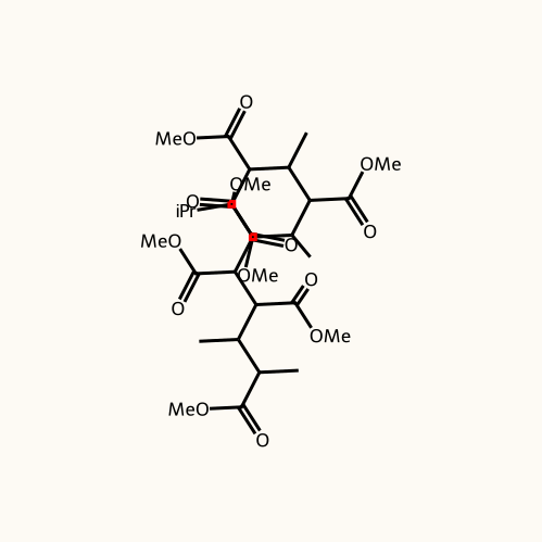 COC(=O)C(C)C(C)C(C(=O)OC)C(C(=O)OC)C(C(=O)OC)C(C)C(C(=O)OC)C(C)C(C(=O)OC)C(C(=O)OC)C(C)C